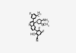 COC1CN(c2c(-c3cc(C)cc(F)c3)cnc3ccc(-c4c(O)c(C#N)cc(F)c4F)cc23)CCC1N